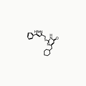 O=c1cc(CC2CCCCC2)nc(SCc2cc(-c3ccccc3)[nH]n2)[nH]1